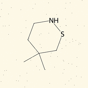 CC1(C)CCNSC1